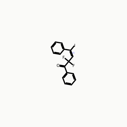 O=C(c1ccccc1)C(F)(F)/C=C(/I)c1ccccc1